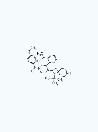 COc1ccc(C(=O)N2CCN(C3CC4(CCNCC4)C3C(C)(C)C)C(c3ccccc3C(C)C)C2)cc1